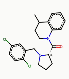 CC1CCN(C(=O)[C@@H]2CCCN2Cc2cc(Cl)ccc2Cl)c2ccccc21